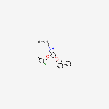 CC(=O)NCCNCc1ccc(OCc2cccc(-c3ccccc3)c2C)cc1OCc1cc(C)ccc1F